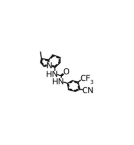 Cc1ccn2c(NC(=O)Nc3ccc(C#N)c(C(F)(F)F)c3)cccc12